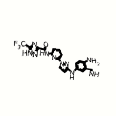 N=Cc1cc(Nc2ccn(-c3cccc(NC(=O)c4n[nH]c(C(F)(F)F)n4)n3)n2)ccc1N